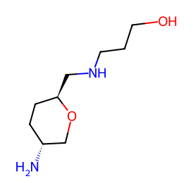 N[C@@H]1CC[C@@H](CNCCCO)OC1